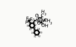 C[C@@H](C(=O)NCc1cc(-c2ccccc2)ccc1C(F)(F)F)N(C)C(=O)O